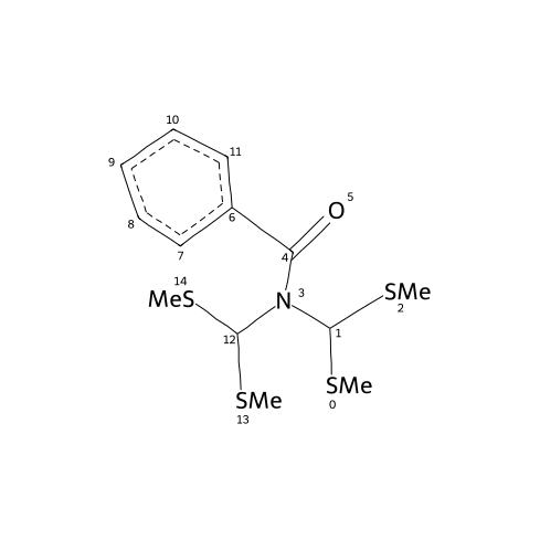 CSC(SC)N(C(=O)c1ccccc1)C(SC)SC